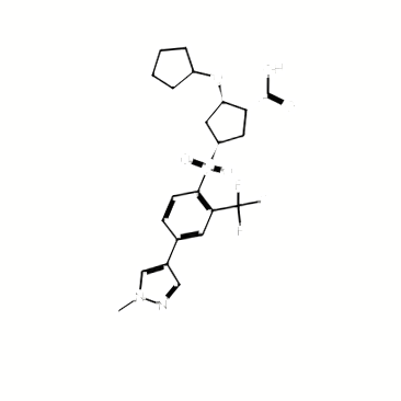 Cn1cc(-c2ccc(S(=O)(=O)[C@H]3C[C@@H](OC4CCCC4)[C@H](C(=O)O)C3)c(C(F)(F)F)c2)cn1